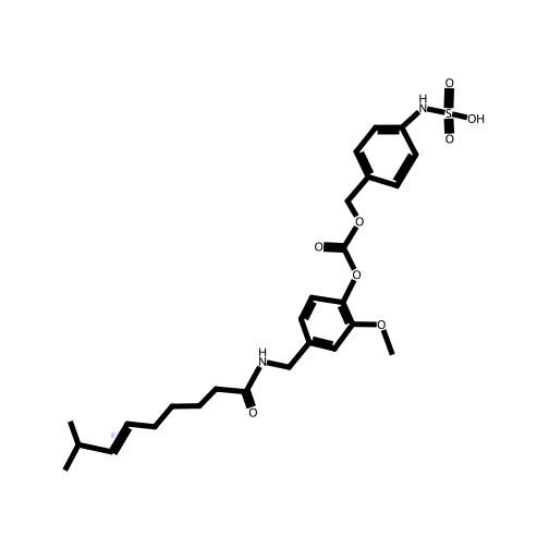 COc1cc(CNC(=O)CCCC/C=C/C(C)C)ccc1OC(=O)OCc1ccc(NS(=O)(=O)O)cc1